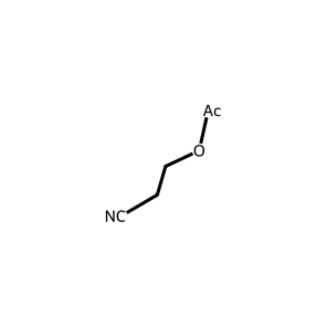 [CH2]C(=O)OCCC#N